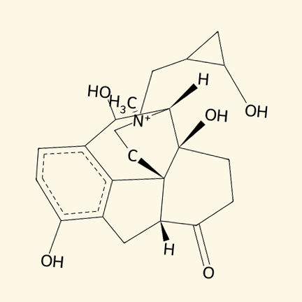 C[N@+]1(CC2CC2O)CC[C@]23c4c5ccc(O)c4C[C@H]2C(=O)CC[C@@]3(O)[C@H]1C5O